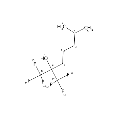 CC(C)C[CH]CC(O)(C(F)(F)F)C(F)(F)F